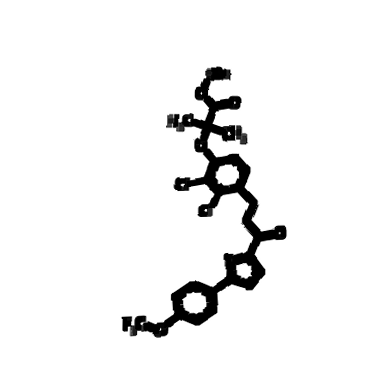 CC(C)(C)OC(=O)C(C)(C)Oc1ccc(CCC(=O)c2ccc(-c3ccc(OC(F)(F)F)cc3)s2)c(Cl)c1Cl